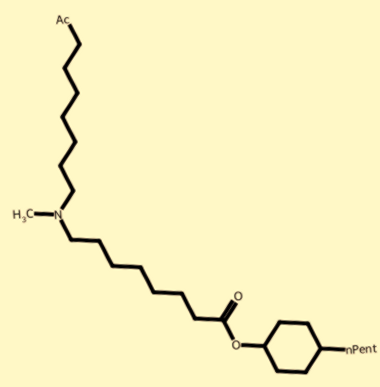 CCCCCC1CCC(OC(=O)CCCCCCCN(C)CCCCCCCC(C)=O)CC1